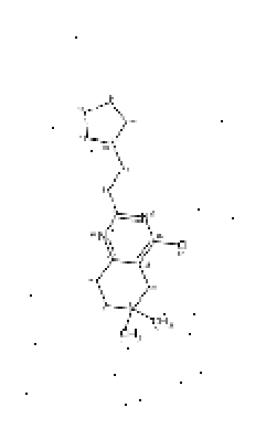 CC1(C)CCc2nc(CCN3CCCC3)nc(Cl)c2C1